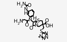 Cn1nnnc1SCC1(C(=O)O)CS[C@@H]2C(N(C(=O)CN)c3cccc(NC(N)=O)c3)C(=O)N2C1